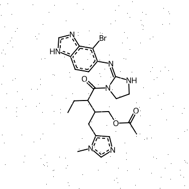 CCC(C(=O)N1CCN/C1=N/c1ccc2[nH]cnc2c1Br)C(COC(C)=O)Cc1cncn1C